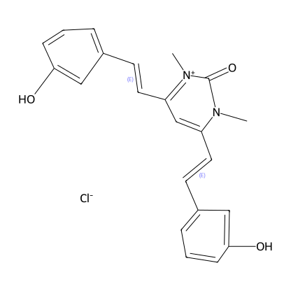 Cn1c(/C=C/c2cccc(O)c2)cc(/C=C/c2cccc(O)c2)[n+](C)c1=O.[Cl-]